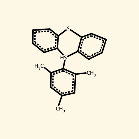 Cc1cc(C)c([SH]2c3ccccc3Sc3ccccc32)c(C)c1